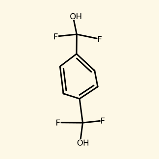 OC(F)(F)c1ccc(C(O)(F)F)cc1